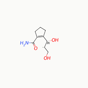 NC(=O)C1=C([C@H](O)[CH]CO)CCC1